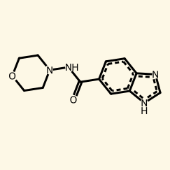 O=C(NN1CCOCC1)c1ccc2nc[nH]c2c1